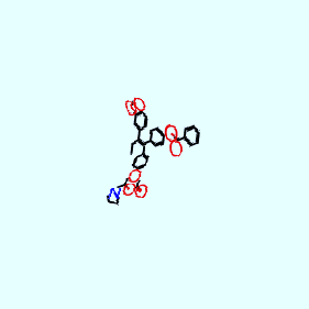 CCC(=C(c1ccc(OCC(CN2CCCC2)OC(C)=O)cc1)c1ccc(OC(=O)c2ccccc2)cc1)c1ccc2c(c1)OCO2